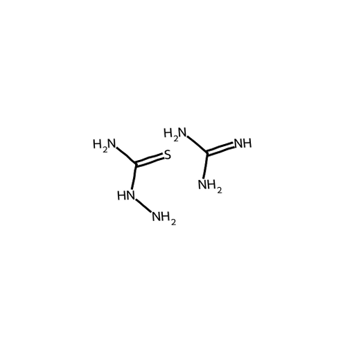 N=C(N)N.NNC(N)=S